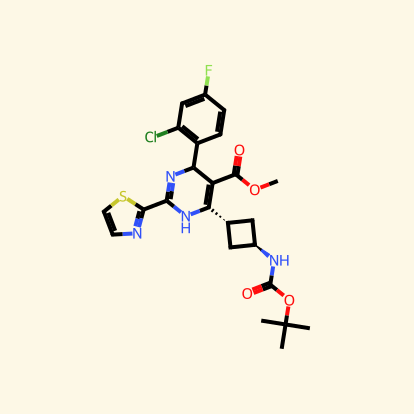 COC(=O)C1=C([C@H]2C[C@H](NC(=O)OC(C)(C)C)C2)NC(c2nccs2)=NC1c1ccc(F)cc1Cl